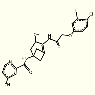 N#Cc1ccnc(C(=O)NC23CC(=C(NC(=O)COc4ccc(Cl)c(F)c4)C(O)C2)C3)c1